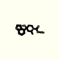 CC1CC(O)(c2cccc3sccc23)CCN1C(=O)OC(C)(C)C